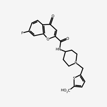 O=C(NC1CCN(Cc2ccc(C(=O)O)s2)CC1)c1cc(=O)c2ccc(F)cc2o1